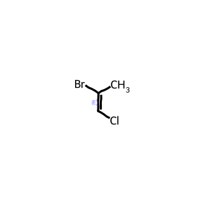 C/C(Br)=C\Cl